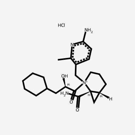 Cc1nc(N)ccc1C[N+]1(C(=O)[C@H](O)CC2CCCCC2)CCC[C@@H]2C[C@@]21C(N)=O.Cl